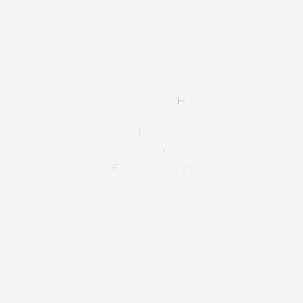 COC(F)(F)C(F)F